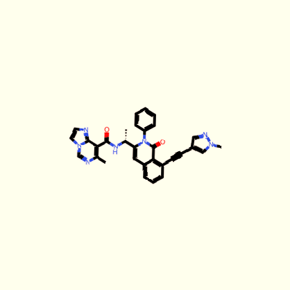 Cc1ncn2ccnc2c1C(=O)N[C@H](C)c1cc2cccc(C#Cc3cnn(C)c3)c2c(=O)n1-c1ccccc1